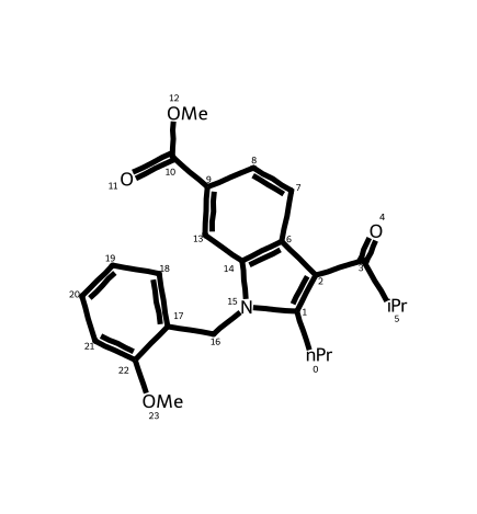 CCCc1c(C(=O)C(C)C)c2ccc(C(=O)OC)cc2n1Cc1ccccc1OC